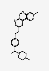 Cc1ccc2c(c1)ncc1ncc(CCc3ccc(C(C)N4CCN(C)CC4)cc3)cc12